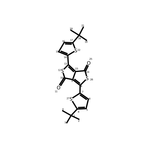 CC(C)(C)c1ccc(C2=C3C(=O)SC(c4ccc(C(C)(C)C)s4)=C3C(=O)S2)s1